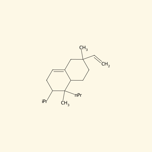 C=CC1(C)CCC2C(=CCC(C(C)C)C2(C)CCC)C1